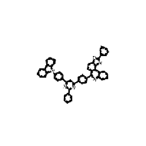 c1ccc(-c2nc(-c3ccc(-c4nc5ccccc5c5c4ccc4oc(-c6ccccc6)nc45)cc3)cc(-c3ccc(-n4c5ccccc5c5ccccc54)cc3)n2)cc1